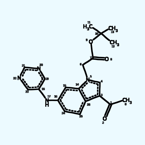 CC(=O)c1cn(CC(=O)OC(C)(C)C)c2cc(Nc3cncnc3)ccc12